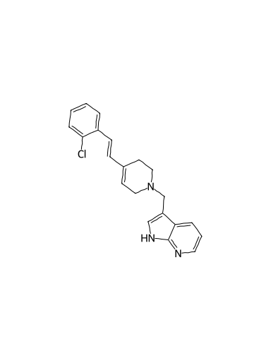 Clc1ccccc1C=CC1=CCN(Cc2c[nH]c3ncccc23)CC1